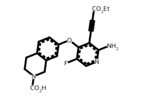 CCOC(=O)C#Cc1c(N)ncc(F)c1Oc1ccc2c(c1)CN(C(=O)O)CC2